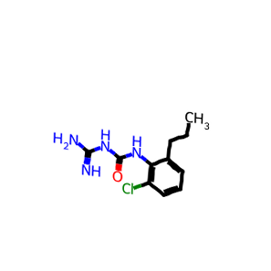 CCCc1cccc(Cl)c1NC(=O)NC(=N)N